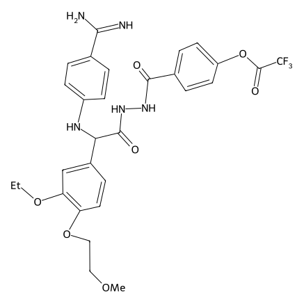 CCOc1cc(C(Nc2ccc(C(=N)N)cc2)C(=O)NNC(=O)c2ccc(OC(=O)C(F)(F)F)cc2)ccc1OCCOC